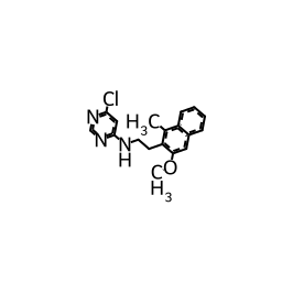 COc1cc2ccccc2c(C)c1CCNc1cc(Cl)ncn1